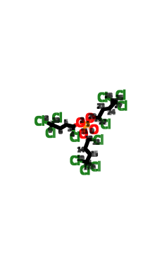 O=P(OC(Cl)CCC(Cl)(Cl)Cl)(OC(Cl)CCC(Cl)(Cl)Cl)OC(Cl)CCC(Cl)(Cl)Cl